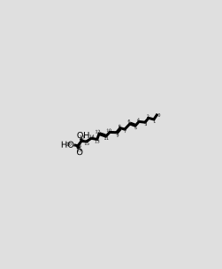 CCCCCC=CCC=CCC=CCCCC(O)C(=O)O